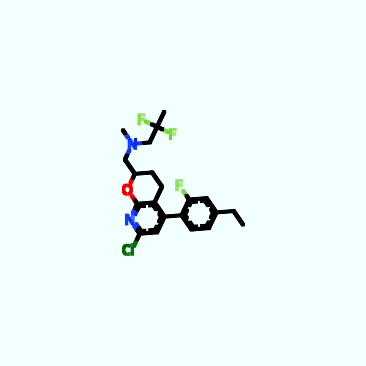 CCc1ccc(-c2cc(Cl)nc3c2CCC(CN(C)CC(C)(F)F)O3)c(F)c1